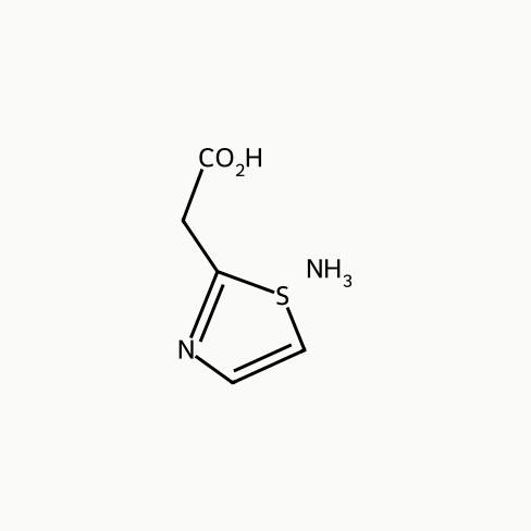 N.O=C(O)Cc1nccs1